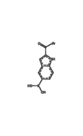 CC(C)C(=O)c1cc2cc(B(O)O)ccc2[nH]1